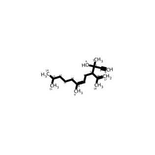 C#CC(C)(O)C(CC=C(C)CCCC(C)C)C(=C)C